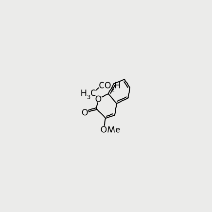 CC(=O)O.COc1cc2ccccc2oc1=O